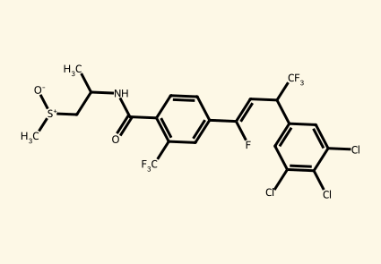 CC(C[S+](C)[O-])NC(=O)c1ccc(/C(F)=C/C(c2cc(Cl)c(Cl)c(Cl)c2)C(F)(F)F)cc1C(F)(F)F